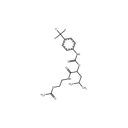 CC(=O)OCCNC(=O)C(CC(C)C)OC(=O)Nc1ccc(C(F)(F)F)cc1